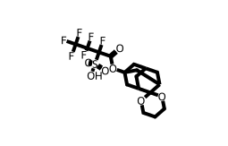 O=C(OC12CC3CC(C1)C1(OCCCO1)C(C3)C2)C(F)(C(F)(F)C(F)(F)F)S(=O)(=O)O